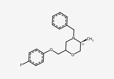 C[C@H]1COC(COc2ccc(F)cc2)CN1Cc1ccccc1